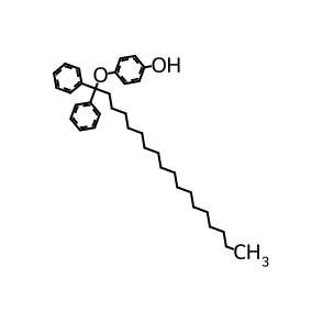 CCCCCCCCCCCCCCCCCC(Oc1ccc(O)cc1)(c1ccccc1)c1ccccc1